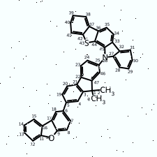 CC1(C)c2cc(-c3ccc4oc5ccccc5c4c3)ccc2-c2ccc(-n3c4ccccc4c4ccc5c6ccccc6sc5c43)cc21